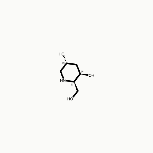 OC[C@H]1NC[C@H](O)C[C@H]1O